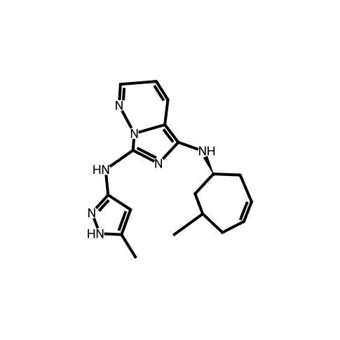 Cc1cc(Nc2nc(N[C@H]3CC=CCC(C)C3)c3cccnn23)n[nH]1